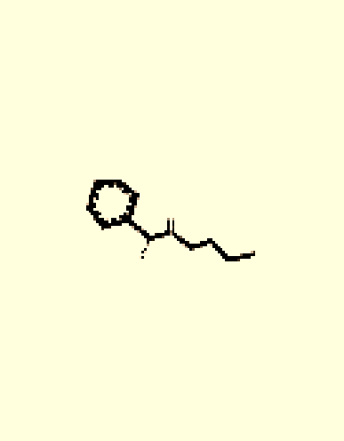 CCCCN[C@H](C)c1ccccc1